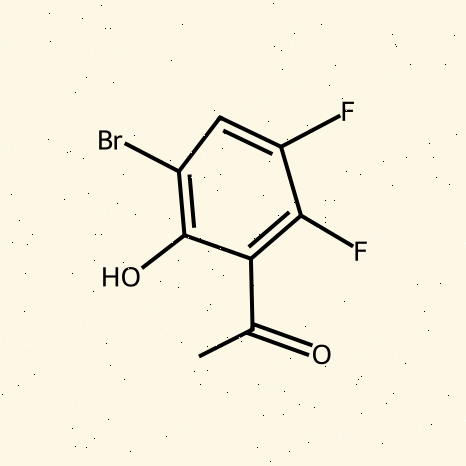 CC(=O)c1c(O)c(Br)cc(F)c1F